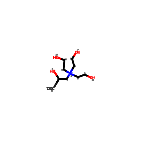 O=C([O-])C(O)C[N+](CCO)(CCO)CCO